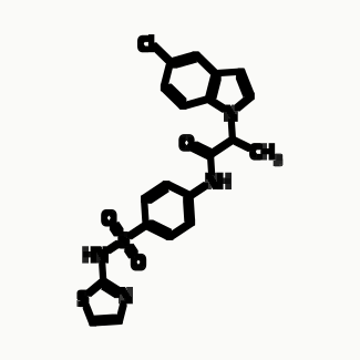 CC(C(=O)Nc1ccc(S(=O)(=O)Nc2nccs2)cc1)n1ccc2cc(Cl)ccc21